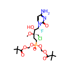 CO[C@](CCl)(CCP(=O)(OCOC(=O)C(C)(C)C)OCOC(=O)C(C)(C)C)[C@@H](O)[C@@H](F)n1ccc(N)nc1=O